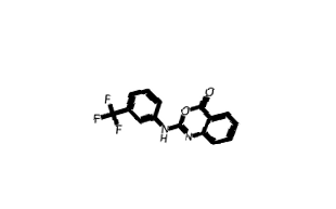 O=c1oc(Nc2cccc(C(F)(F)F)c2)nc2ccccc12